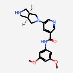 COc1cc(NC(=O)c2cncc(N3C[C@H]4CNC[C@H]4C3)c2)cc(OC)c1